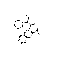 CCC(C1CCCCC1)C(C=O)c1nc2ccccc2nc1C(N)=O